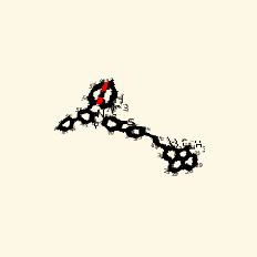 Cc1ccccc1N(c1ccc2c(c1)sc1cc(/C=C/c3cc4c5c(ccc6cccc(c65)C4(C)C)c3)ccc12)c1c(F)cc(-c2ccccc2)cc1-c1ccccc1